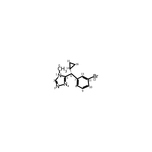 Cn1cnnc1[C@@H](c1cccc(Br)c1)C1CC1